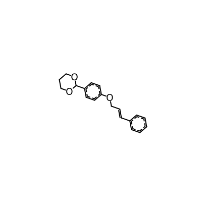 C(=Cc1ccccc1)COc1ccc(C2OCCCO2)cc1